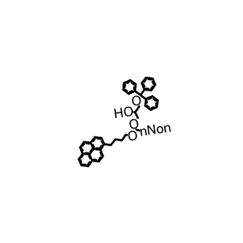 CCCCCCCCCC(OCCCCc1ccc2ccc3cccc4ccc1c2c34)OCC(O)COC(c1ccccc1)(c1ccccc1)c1ccccc1